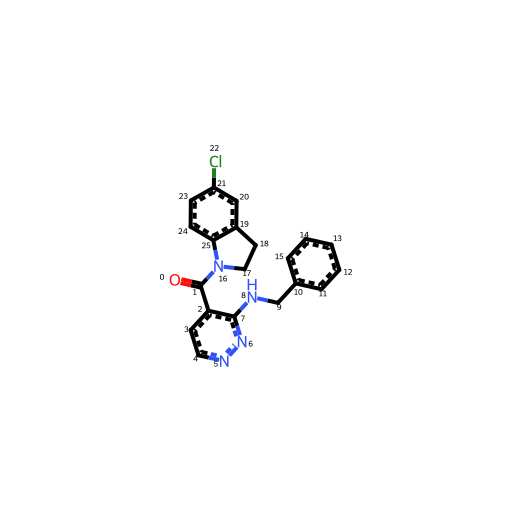 O=C(c1ccnnc1NCc1ccccc1)N1CCc2cc(Cl)ccc21